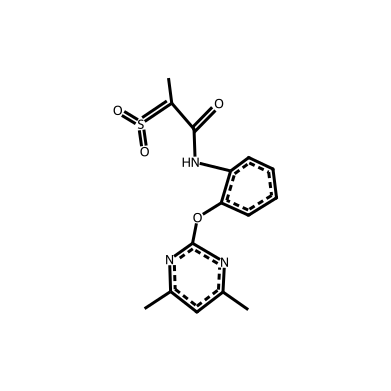 CC(C(=O)Nc1ccccc1Oc1nc(C)cc(C)n1)=S(=O)=O